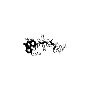 COc1ccc2c3c1O[C@H]1C(OC(=O)[C@H](O)[C@@H](O)C(=O)O[C@@H](C)C(=O)N[C@H](CC(=O)O)C(=O)O)=CC[C@@]4(O)[C@@H](C2)C(C)CC[C@]314